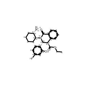 CCOC(=O)[C@@H]1c2ccccc2C(=O)N([C@H]2CCCC[C@@H]2N)[C@H]1c1ccc(F)cc1Cl